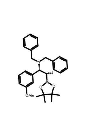 CC[C@@H](B1OC(C)(C)C(C)(C)O1)[C@@H](c1cccc(OC)c1)N(Cc1ccccc1)Cc1ccccc1